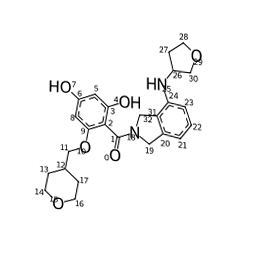 O=C(c1c(O)cc(O)cc1OCC1CCOCC1)N1Cc2cccc(NC3CCOC3)c2C1